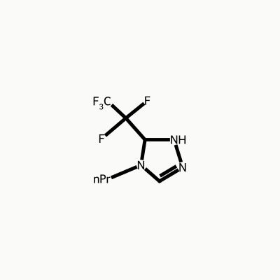 CCCN1C=NNC1C(F)(F)C(F)(F)F